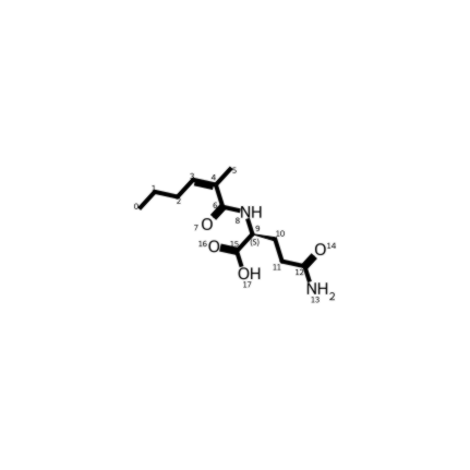 CCCC=C(C)C(=O)N[C@@H](CCC(N)=O)C(=O)O